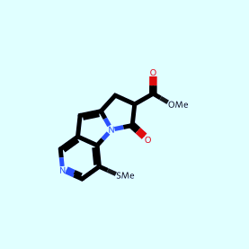 COC(=O)C1Cc2cc3cncc(SC)c3n2C1=O